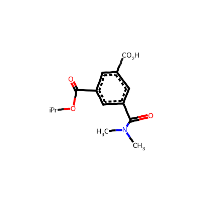 CC(C)OC(=O)c1cc(C(=O)O)cc(C(=O)N(C)C)c1